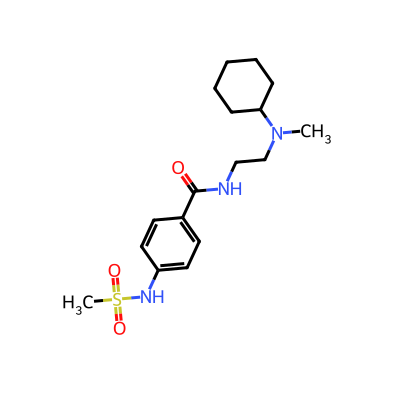 CN(CCNC(=O)c1ccc(NS(C)(=O)=O)cc1)C1CCCCC1